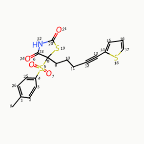 Cc1ccc(S(=O)(=O)C2(CCCC#Cc3cccs3)SC(=O)NC2=O)cc1